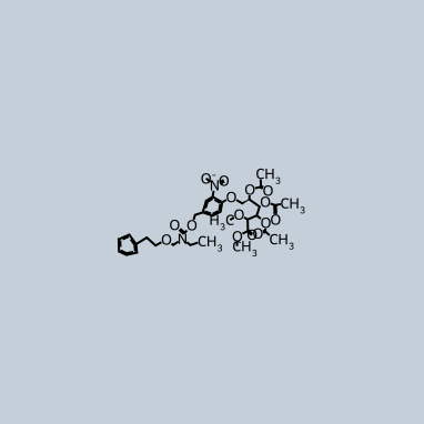 CCN(COCCc1ccccc1)C(=O)OCc1ccc(OC[C@@H](OC(C)=O)C(OC(C)=O)C(OC(C)=O)C(OC)C(=O)OC)c([N+](=O)[O-])c1